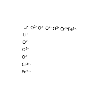 [Cr+3].[Cr+3].[Fe+3].[Fe+3].[Li+].[Li+].[O-2].[O-2].[O-2].[O-2].[O-2].[O-2].[O-2]